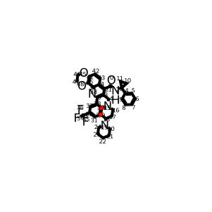 O=C(NC1(c2ccccc2)CC1)c1c(CN2CCC(N3CCCCC3)CC2)c(-c2cccc(C(F)(F)F)c2)nc2c3c(ccc12)OCCO3